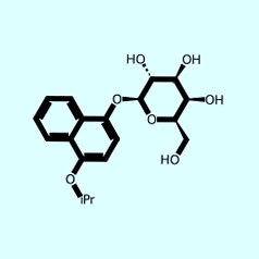 CC(C)Oc1ccc(O[C@@H]2O[C@H](CO)[C@H](O)[C@H](O)[C@H]2O)c2ccccc12